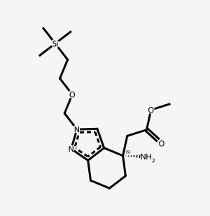 COC(=O)C[C@@]1(N)CCCc2nn(COCC[Si](C)(C)C)cc21